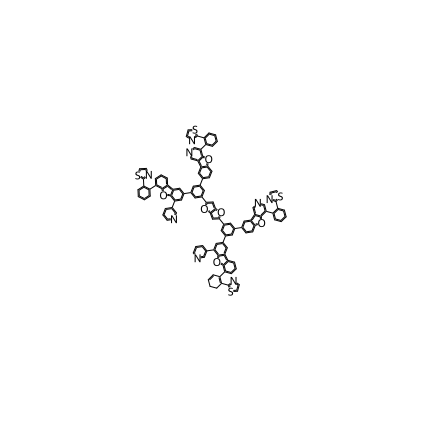 C1=CC(c2cccc3c2oc2c(-c4cccnc4)cc(-c4cc(-c5ccc6oc7c(-c8ccccc8-c8nccs8)cncc7c6c5)cc(-c5cc6oc(-c7cc(-c8ccc9oc%10c(-c%11ccccc%11-c%11nccs%11)cncc%10c9c8)cc(-c8cc(-c9cccnc9)c9oc%10c(-c%11ccccc%11-c%11nccs%11)cccc%10c9c8)c7)cc6o5)c4)cc23)=C(c2nccs2)CC1